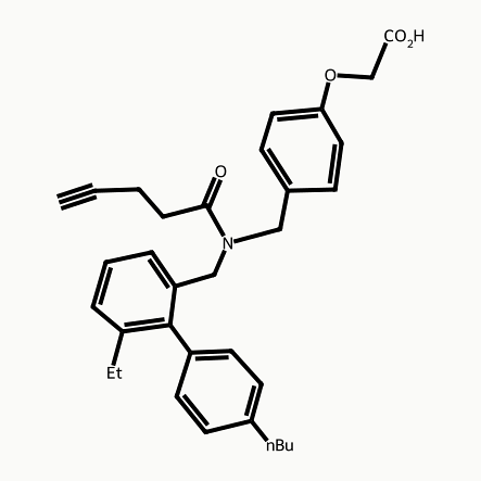 C#CCCC(=O)N(Cc1ccc(OCC(=O)O)cc1)Cc1cccc(CC)c1-c1ccc(CCCC)cc1